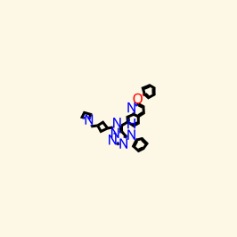 c1ccc(Nc2ncnn3c(C4CC(CN5CCC5)C4)nc(-c4ccc5ccc(Oc6ccccc6)nc5c4)c23)cc1